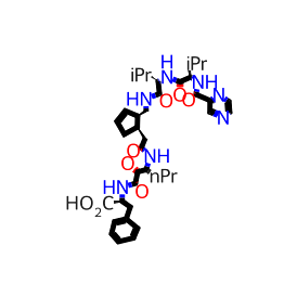 CCCC(NC(=O)C[C@H]1CC=C[C@H]1CNC(=O)[C@@H](NC(=O)[C@H](NC(=O)c1cnccn1)C(C)C)C(C)C)C(=O)C(=O)N[C@@H](Cc1ccccc1)C(=O)O